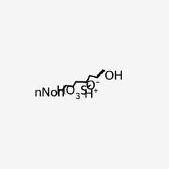 CCCCCCCCCCCCCCC=CO.O=S(=O)([O-])O.[H+]